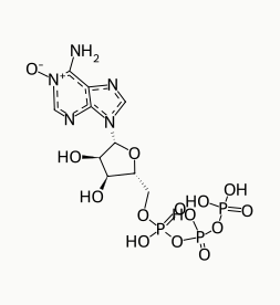 Nc1c2ncn([C@@H]3O[C@H](COP(=O)(O)OP(=O)(O)OP(=O)(O)O)[C@@H](O)[C@H]3O)c2nc[n+]1[O-]